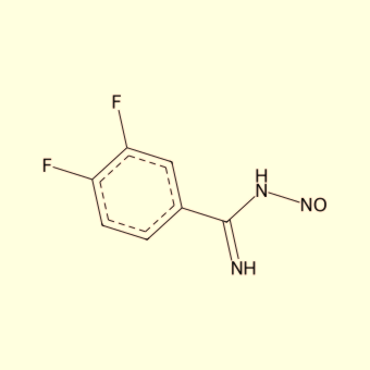 N=C(NN=O)c1ccc(F)c(F)c1